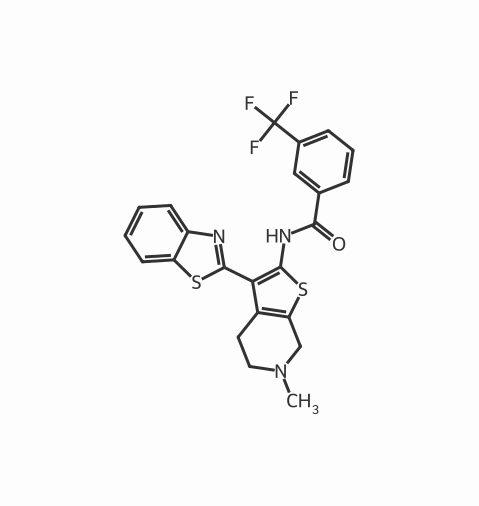 CN1CCc2c(sc(NC(=O)c3cccc(C(F)(F)F)c3)c2-c2nc3ccccc3s2)C1